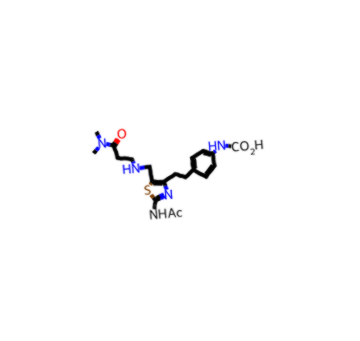 CC(=O)Nc1nc(CCc2ccc(NC(=O)O)cc2)c(CNCCC(=O)N(C)C)s1